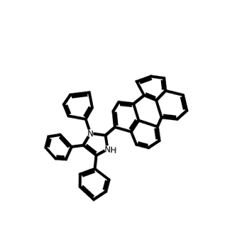 c1ccc(C2=C(c3ccccc3)N(c3ccccc3)C(c3ccc4c5cccc6cccc(c7cccc3c74)c65)N2)cc1